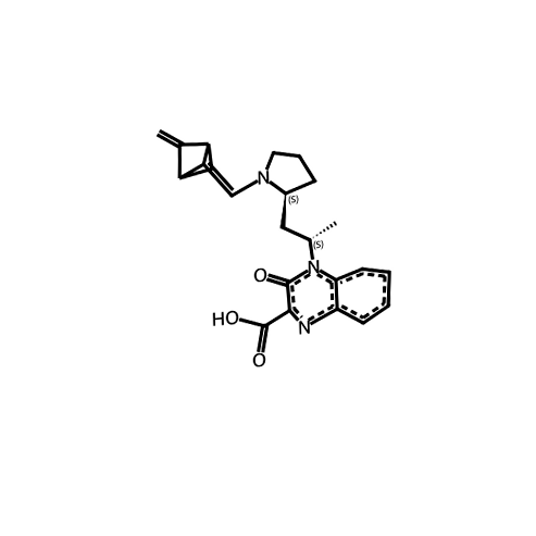 C=C1C2CC1C2=CN1CCC[C@H]1C[C@H](C)n1c(=O)c(C(=O)O)nc2ccccc21